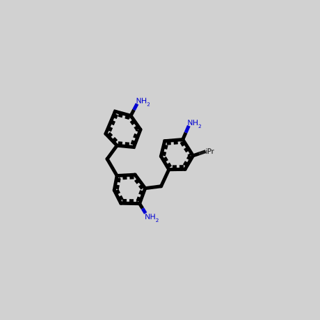 CC(C)c1cc(Cc2cc(Cc3ccc(N)cc3)ccc2N)ccc1N